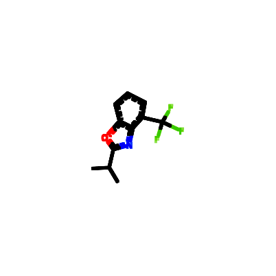 CC(C)c1nc2c(C(F)(F)F)cccc2o1